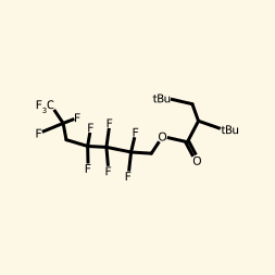 CC(C)(C)CC(C(=O)OCC(F)(F)C(F)(F)C(F)(F)CC(F)(F)C(F)(F)F)C(C)(C)C